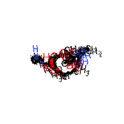 C/C1=C/C=C/[C@H](C)[C@H](O)[C@@H](C)[C@@H](O)[C@@H](C)[C@H](OC(=O)CC(=O)N2CCc3[nH]c4ccccc4c3C2)[C@H](C)[C@@H](O)/C=C/O[C@@]2(C)Oc3c(C)c(O)c4c(c3C2=O)C2=NC3(CCN(CC(C)C)CC3)NC2=C(NC1=O)C4=O